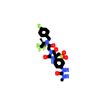 CNC(=O)Nc1ccc2c(c1)S(=O)(=O)CC21NC(=O)N(CC(=O)N(Cc2ccc(F)cc2)[C@@H](C)C(F)(F)F)C1=O